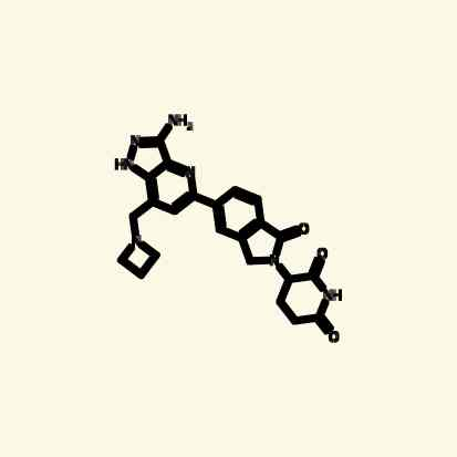 Nc1n[nH]c2c(CN3CCC3)cc(-c3ccc4c(c3)CN(C3CCC(=O)NC3=O)C4=O)nc12